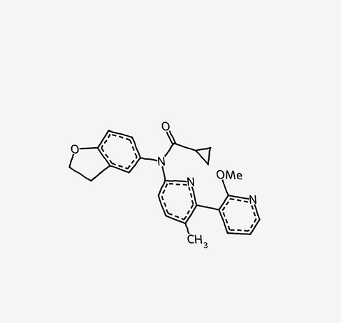 COc1ncccc1-c1nc(N(C(=O)C2CC2)c2ccc3c(c2)CCO3)ccc1C